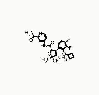 C[C@H]1[C@H](c2ccc(F)c(F)c2OC2CCC2)[C@@H](C(=O)Nc2ccnc(C(N)=O)c2)O[C@@]1(C)C(F)(F)F